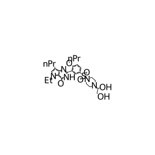 CCCOc1ccc(S(=O)(=O)N2CCN([C@@H](O)CO)CC2)cc1-c1nc2c(CCC)cn(CC)c2c(=O)[nH]1